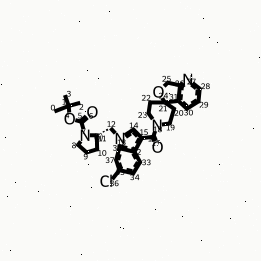 CC(C)(C)OC(=O)N1CCC[C@H]1Cn1cc(C(=O)N2CCC3(CC2)OCc2ncccc23)c2ccc(Cl)cc21